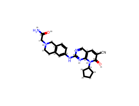 N#Cc1cc2cnc(Nc3ccc4c(c3)CCN(CC(N)=O)C4)nc2n(C2CCCC2)c1=O